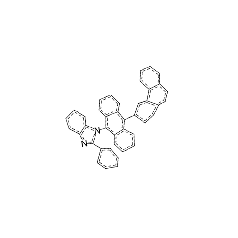 c1ccc(-c2nc3ccccc3n2-c2c3ccccc3c(-c3ccc4ccc5ccccc5c4c3)c3ccccc23)cc1